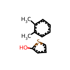 Cc1ccccc1C.Oc1cccs1